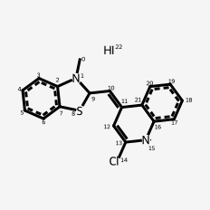 CN1c2ccccc2SC1C=C1C=C(Cl)[N]c2ccccc21.I